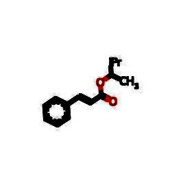 CC(C)C(C)OC(=O)C=Cc1ccccc1